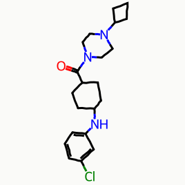 O=C(C1CCC(Nc2cccc(Cl)c2)CC1)N1CCN(C2CCC2)CC1